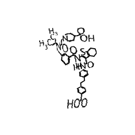 CCC(CC)N(Cc1cccc(C(=O)Nc2sc3c(c2C(=O)Nc2ccc(CCc4ccc(C(=O)O)cc4)cc2)CCCC3)c1)C(=O)CN1CCC(C(=O)O)CC1